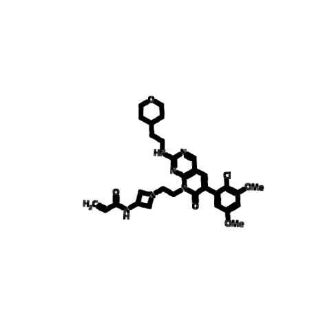 C=CC(=O)NC1CN(CCn2c(=O)c(-c3cc(OC)cc(OC)c3Cl)cc3cnc(NCCC4CCOCC4)nc32)C1